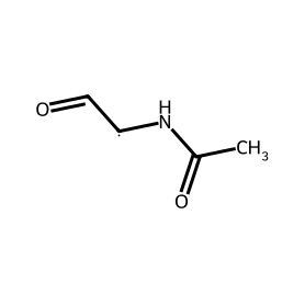 CC(=O)N[CH]C=O